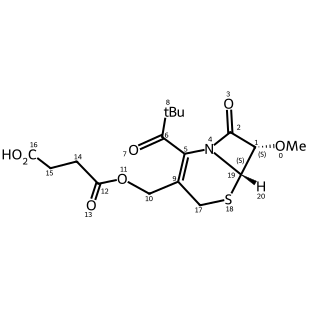 CO[C@H]1C(=O)N2C(C(=O)C(C)(C)C)=C(COC(=O)CCC(=O)O)CS[C@@H]12